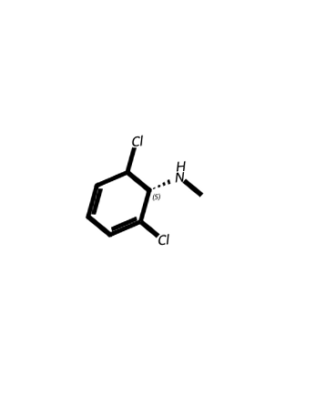 CN[C@@H]1C(Cl)=CC=CC1Cl